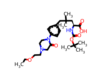 CCOCCN1CCN(c2ccc(CC(C)(C)C[C@H](NC(=O)OC(C)(C)C)C(=O)O)cc2)C(=O)C1